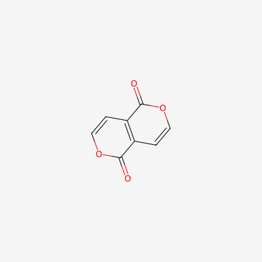 O=c1occc2c(=O)occc12